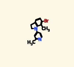 Cc1cc(N2CCc3ccc(Br)c(C)c32)ccn1